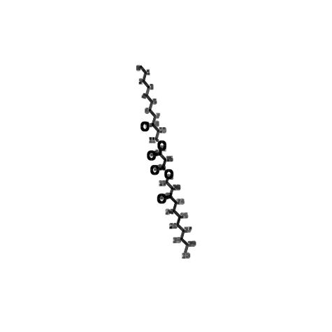 CCCCCCCCC(=O)CCOC(=O)CC(=O)OCCC(=O)CCCCCCCC